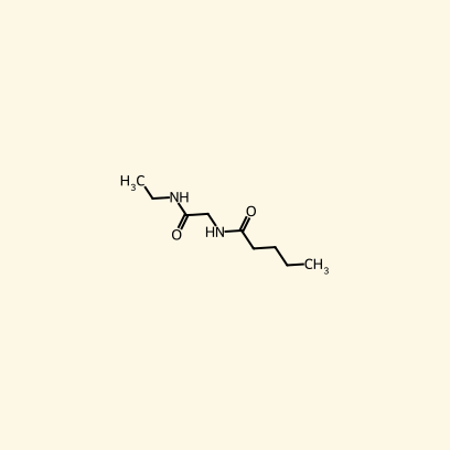 CCCCC(=O)NCC(=O)NCC